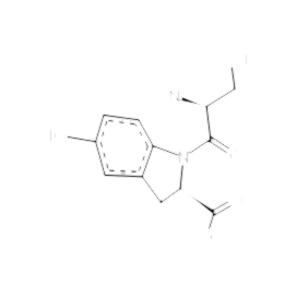 CC[C@H](N)C(=O)N1c2ccc(O)cc2C[C@@H]1C(=O)O